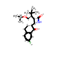 C[SiH](C)OC[C@H]([C@@H]1C(=O)N[C@@H]1[C@H]1CCc2ccc(F)cc2C1=O)C(C)(C)C